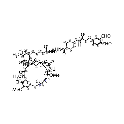 COc1cc2cc(c1Cl)N(C)C(=O)C[C@H](OC(=O)[C@H](C)N(C)C(=O)CCSCC(=O)NCCNC(=O)C1CCC(CNC(=O)CCc3ccc(C=O)c(C=O)c3)CC1)C1(C)CC(C)(O1)C1CC(O)(NC(=O)O1)C(OC)/C=C/C=C(\C)C2